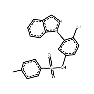 Cc1ccc(S(=O)(=O)Nc2ccc(O)c(-n3ncc4ccccc43)c2)cc1